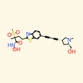 CN1C[C@@H](C#CC#Cc2ccc3nc(CCC(C)(C(=O)NO)S(C)(=O)=O)sc3c2)C[C@@H]1CO